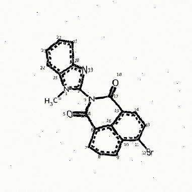 Cn1c(N2C(=O)c3cccc4c(Br)ccc(c34)C2=O)nc2ccccc21